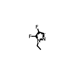 CCn1n[c]c(F)c1F